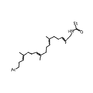 CCC(=O)NCC(C)=CCCC(C)=CCCC(C)=CCCC(C)=CCCC(C)=O